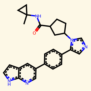 CC1(NC(=O)C2CCC(n3cncc3-c3ccc(-c4cnc5[nH]ccc5c4)cc3)C2)CC1